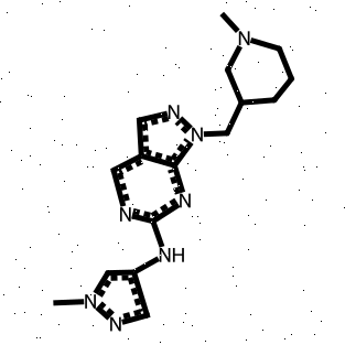 CN1CCCC(Cn2ncc3cnc(Nc4cnn(C)c4)nc32)C1